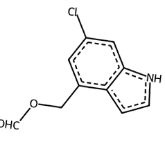 O=COCc1cc(Cl)cc2[nH]ccc12